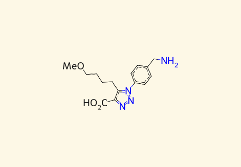 COCCCCc1c(C(=O)O)nnn1-c1ccc(CN)cc1